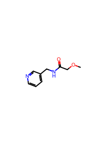 COCC(=O)NCc1cccnc1